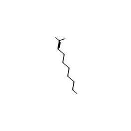 CCCCCCCCCCCCCCC=C(C)C(=O)O.F